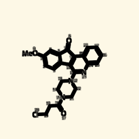 COc1ccc2c(c1)C(=O)c1c-2c(N2CCN(C(=O)CCCl)CC2)nc2ccccc12